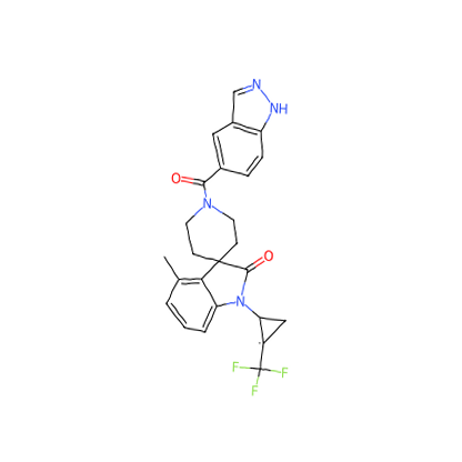 Cc1cccc2c1C1(CCN(C(=O)c3ccc4[nH]ncc4c3)CC1)C(=O)N2C1C[C]1C(F)(F)F